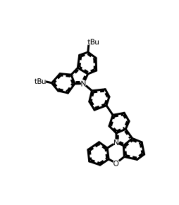 CC(C)(C)c1ccc2c(c1)c1cc(C(C)(C)C)ccc1n2-c1ccc(-c2ccc3c4cccc5c4n(c3c2)-c2ccccc2O5)cc1